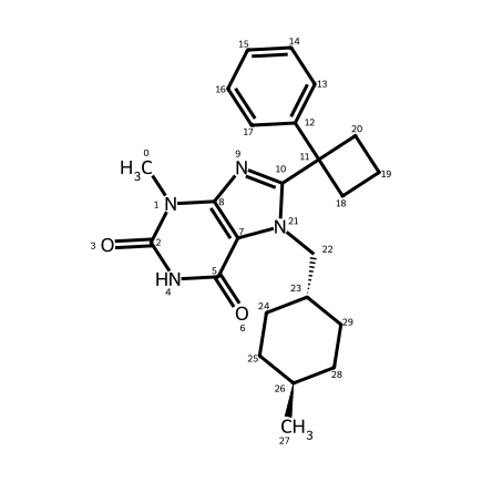 Cn1c(=O)[nH]c(=O)c2c1nc(C1(c3ccccc3)CCC1)n2C[C@H]1CC[C@H](C)CC1